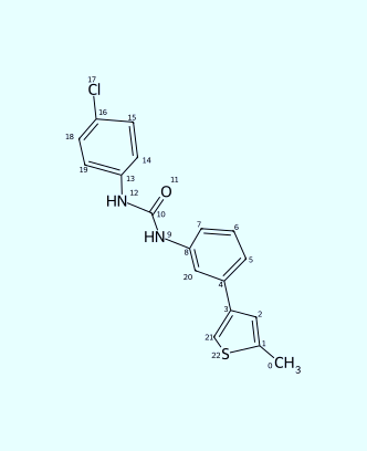 Cc1cc(-c2cccc(NC(=O)Nc3ccc(Cl)cc3)c2)cs1